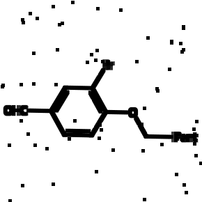 CCCC(C)COc1ccc(C=O)cc1Br